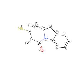 CC(CS)C(=O)N1c2ccccc2C[C@H]1C(=O)O